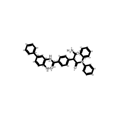 NC(=O)C(C(=O)N(c1ccccc1)c1ccccc1)c1ccc(C(=O)Nc2cc(-c3ccccc3)ccc2N)cc1